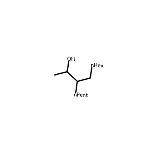 CCCCCCCC(CCCCC)C(C)O